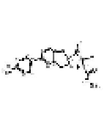 C[C@@H](NC(=O)OC(C)(C)C)C(=O)N1CCc2cc(-c3ccc(C(F)(F)F)cc3)ccc2C1